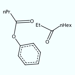 CCCC(=O)Oc1ccccc1.CCCCCCC(=O)CC